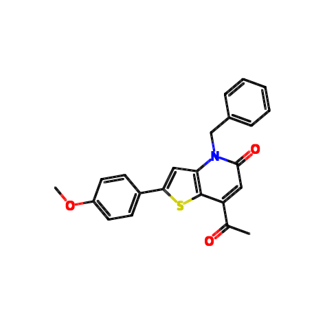 COc1ccc(-c2cc3c(s2)c(C(C)=O)cc(=O)n3Cc2ccccc2)cc1